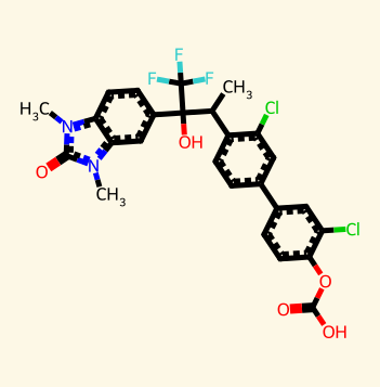 CC(c1ccc(-c2ccc(OC(=O)O)c(Cl)c2)cc1Cl)C(O)(c1ccc2c(c1)n(C)c(=O)n2C)C(F)(F)F